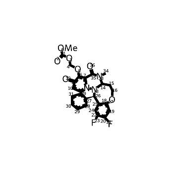 COC(=O)OCOc1c2n(ccc1=O)N1C(CCOc3cc(F)c(F)cc3[C@H]1c1ccccc1)N(C)C2=O